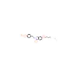 CCCCCOc1ccc2c(c1)CN(CCc1ccc(O)cc1)C2=O